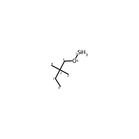 CCC(C)(C)CO[SiH3]